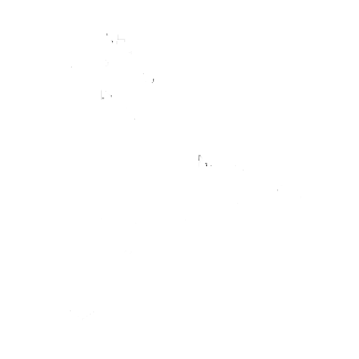 NS(=O)(=O)Nc1ccc(-n2cc(C(F)(F)F)cc2-c2ccc3c(ccc4ccccc43)c2)cc1